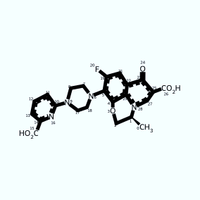 C[C@H]1COc2c(N3CCN(c4cccc(C(=O)O)n4)CC3)c(F)cc3c(=O)c(C(=O)O)cn1c23